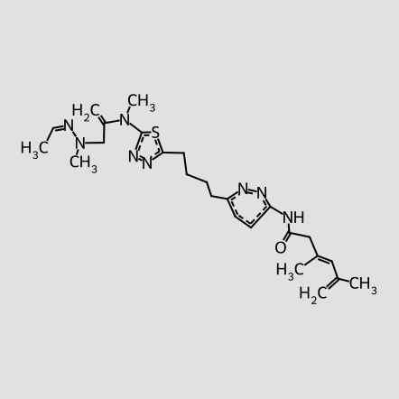 C=C(C)/C=C(\C)CC(=O)Nc1ccc(CCCCc2nnc(N(C)C(=C)CN(C)/N=C\C)s2)nn1